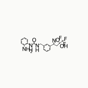 Nc1ccccc1NC(=O)NCc1cccc(C2=NOC(O)(C(F)(F)F)C2)c1